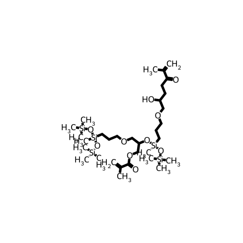 C=C(C)C(=O)CCC(O)COCCC[Si](C)(OC(COCCC[Si](C)(O[Si](C)(C)C)O[Si](C)(C)C)COC(=O)C(=C)C)O[Si](C)(C)C